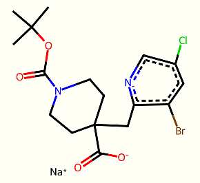 CC(C)(C)OC(=O)N1CCC(Cc2ncc(Cl)cc2Br)(C(=O)[O-])CC1.[Na+]